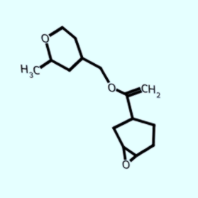 C=C(OCC1CCOC(C)C1)C1CCC2OC2C1